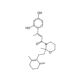 C=C1CCCC(C)=C1CCC1(C)OCCCN1C(=O)/C=C(\C)c1ccc(O)cc1O